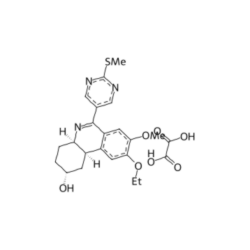 CCOc1cc2c(cc1OC)C(c1cnc(SC)nc1)=N[C@@H]1CC[C@@H](O)C[C@H]21.O=C(O)C(=O)O